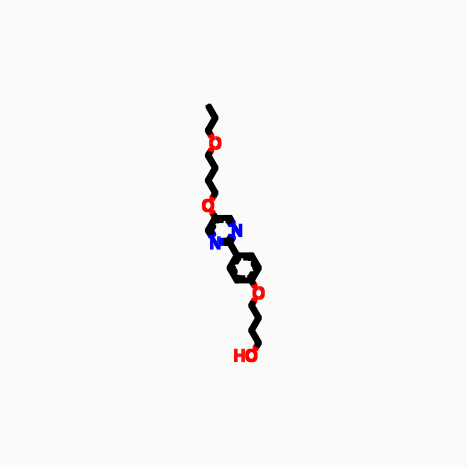 CCCOCCCCOc1cnc(-c2ccc(OCCCCO)cc2)nc1